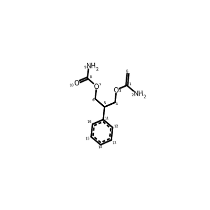 C=C(N)OCC(COC(N)=O)c1ccccc1